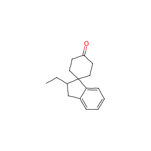 CCC1Cc2ccccc2C12CCC(=O)CC2